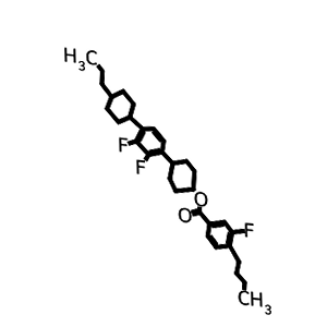 CCCCc1ccc(C(=O)OC2CCC(c3ccc(C4CCC(CCC)CC4)c(F)c3F)CC2)cc1F